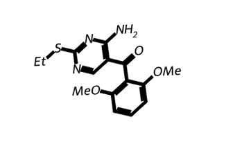 CCSc1ncc(C(=O)c2c(OC)cccc2OC)c(N)n1